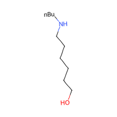 [CH2]CCCNCCCCCCO